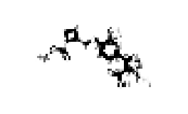 COC(=O)[C@@H]1CC[C@H]1COc1ccc(-c2nnn(C)c2C(=O)O)nc1C